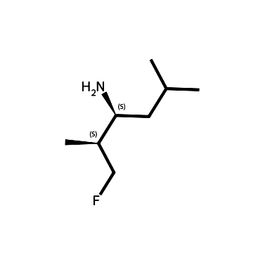 CC(C)C[C@H](N)[C@H](C)CF